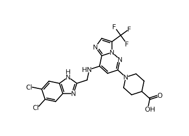 O=C(O)C1CCN(c2cc(NCc3nc4cc(Cl)c(Cl)cc4[nH]3)c3ncc(C(F)(F)F)n3n2)CC1